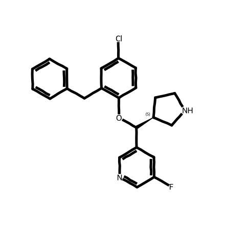 Fc1cncc(C(Oc2ccc(Cl)cc2Cc2ccccc2)[C@H]2CCNC2)c1